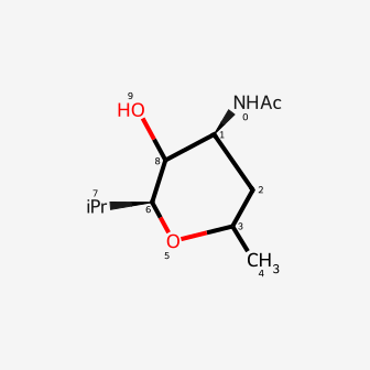 CC(=O)N[C@H]1CC(C)O[C@@H](C(C)C)C1O